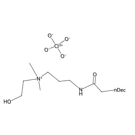 CCCCCCCCCCCC(=O)NCCC[N+](C)(C)CCO.[O-][Cl+3]([O-])([O-])[O-]